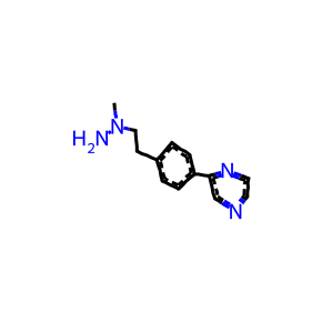 CN(N)CCc1ccc(-c2cnccn2)cc1